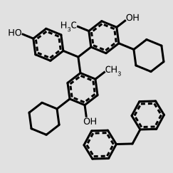 Cc1cc(O)c(C2CCCCC2)cc1C(c1ccc(O)cc1)c1cc(C2CCCCC2)c(O)cc1C.c1ccc(Cc2ccccc2)cc1